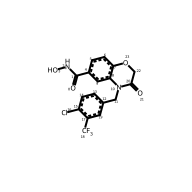 O=C(NO)c1ccc2c(c1)N(Cc1ccc(Cl)c(C(F)(F)F)c1)C(=O)CO2